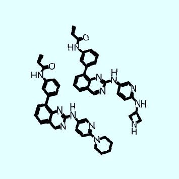 C=CC(=O)Nc1cccc(-c2cccc3cnc(Nc4ccc(N5CCCCC5)nc4)nc23)c1.C=CC(=O)Nc1cccc(-c2cccc3cnc(Nc4ccc(NC5CNC5)nc4)nc23)c1